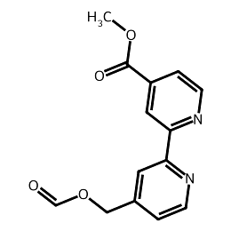 COC(=O)c1ccnc(-c2cc(COC=O)ccn2)c1